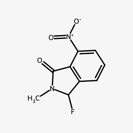 CN1C(=O)c2c(cccc2[N+](=O)[O-])C1F